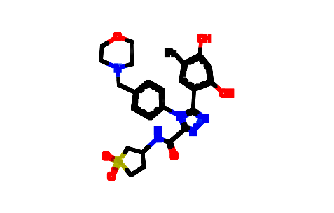 CC(C)c1cc(-c2nnc(C(=O)NC3CCS(=O)(=O)C3)n2-c2ccc(CN3CCOCC3)cc2)c(O)cc1O